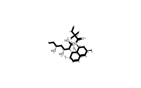 CC[C@@H](O)C[C@@H](O)C(C(=O)O)[C@@H]1[C@@H]2C(=C[C@H](C)C[C@@H]2OC(=O)C(C)(C)CC)C=C[C@@H]1C